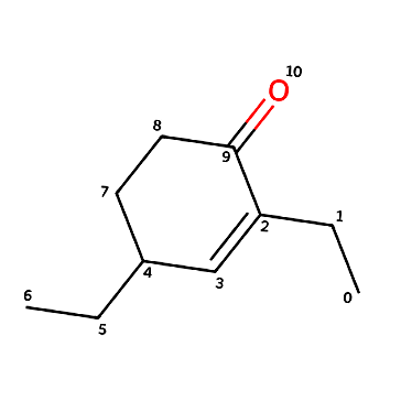 CCC1=CC(CC)CCC1=O